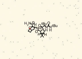 [2H][C@@](CC1CCC1)(NC(=O)C1[C@@H]2[C@H](CN1C(=O)[C@@H](NC(=O)NC(C)(C)C)C(C)(C)C)C2(C)C)C(=O)C(N)=O